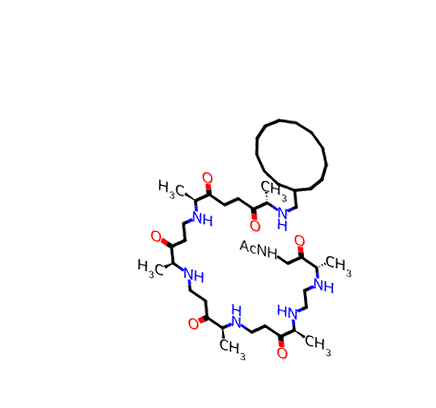 CC(=O)NCC(=O)[C@H](C)NCCN[C@@H](C)C(=O)CCN[C@@H](C)C(=O)CCN[C@@H](C)C(=O)CCN[C@@H](C)C(=O)CCC(=O)[C@H](C)NCC1CCCCCCCCCCCC1